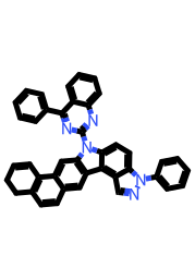 C1=Cc2c(ccc3cc4c5c6cnn(-c7ccccc7)c6ccc5n(-c5nc(-c6ccccc6)c6ccccc6n5)c4cc23)CC1